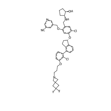 N#Cc1cncc(COc2cc(O[C@H]3CCc4c(-c5cccc(OCCCN6CC7(C6)CC(F)(F)C7)c5Cl)cccc43)c(Cl)cc2CN[C@H]2CCC[C@H]2O)c1